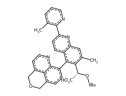 Cc1cccnc1-c1ccc2c(-c3ccc4c5c(ccnc35)COC4)c([C@H](OC(C)(C)C)C(=O)O)c(C)cc2n1